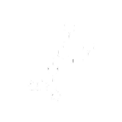 CCCN(CCC)CCCCN(CCC(=O)OCC(C)N(CC)CC)Cc1ccc(CN(Cc2ncc[nH]2)C(C)c2ncc[nH]2)cc1